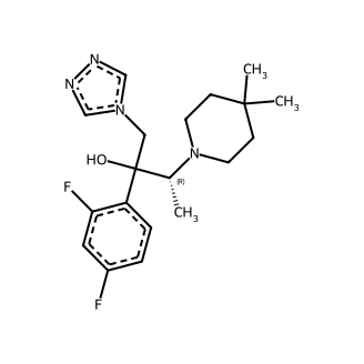 C[C@@H](N1CCC(C)(C)CC1)C(O)(Cn1cnnc1)c1ccc(F)cc1F